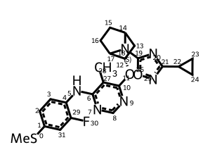 CSc1ccc(Nc2ncnc(O[C@H]3CC4CCC3N4c3nc(C4CC4)no3)c2C)c(F)c1